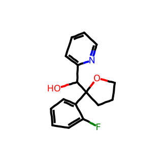 OC(c1ccccn1)C1(c2ccccc2F)CCCO1